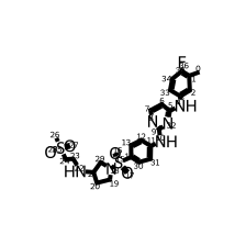 Cc1cc(Nc2ccnc(Nc3ccc(S(=O)(=O)N4CCC(NCCS(C)(=O)=O)C4)cc3)n2)ccc1F